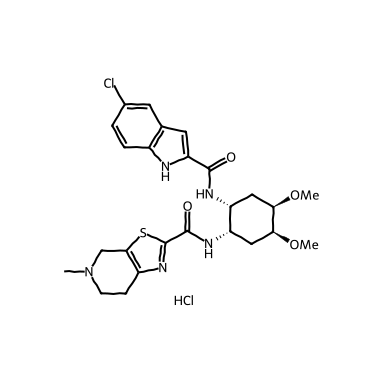 CO[C@H]1C[C@H](NC(=O)c2nc3c(s2)CN(C)CC3)[C@H](NC(=O)c2cc3cc(Cl)ccc3[nH]2)C[C@H]1OC.Cl